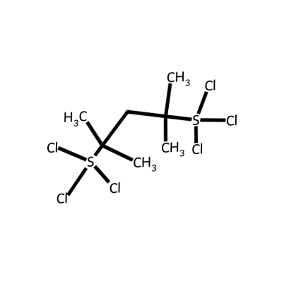 CC(C)(CC(C)(C)S(Cl)(Cl)Cl)S(Cl)(Cl)Cl